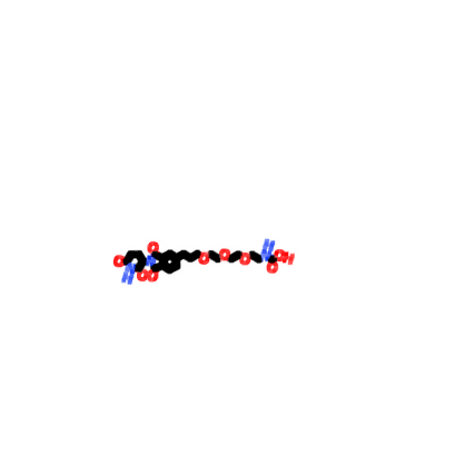 O=C(O)NCCOCCOCCOCCCc1ccc2c(c1)C(=O)N(C1CCC(=O)NC1=O)C2=O